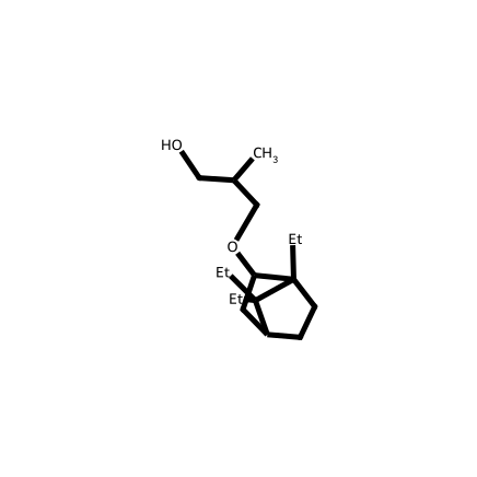 CCC1(CC)C2CCC1(CC)C(OCC(C)CO)C2